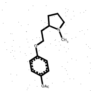 CC(=O)Oc1ccc(OCCC2CCCN2C)cc1